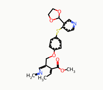 C=N/C=C(COc1ccc(Sc2ccncc2C2OCCO2)cc1)\C(=C/C)C(=O)OC